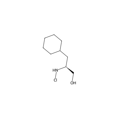 OC[C@H](CC1CCCCC1)NCl